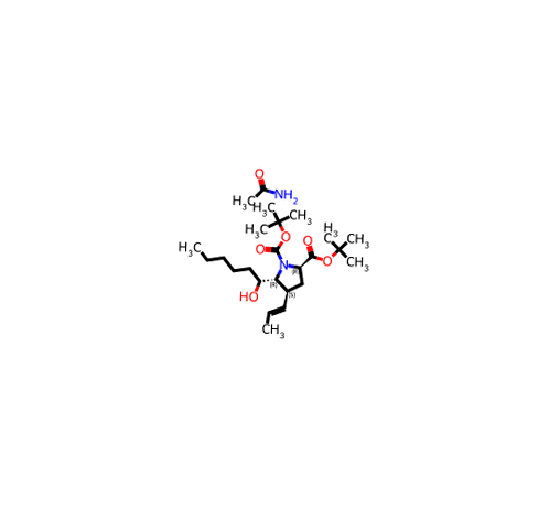 CC(N)=O.CC=C[C@@H]1C[C@H](C(=O)OC(C)(C)C)N(C(=O)OC(C)(C)C)[C@H]1C(O)CCCCC